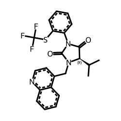 CC(C)[C@@H]1C(=O)N(c2ccccc2SC(F)(F)F)C(=O)N1Cc1ccnc2ccccc12